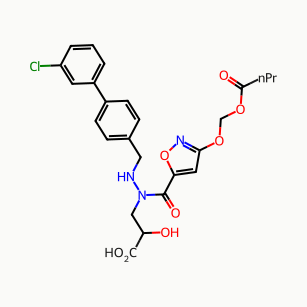 CCCC(=O)OCOc1cc(C(=O)N(CC(O)C(=O)O)NCc2ccc(-c3cccc(Cl)c3)cc2)on1